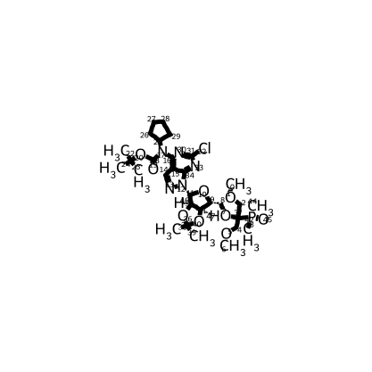 COCC(COC)(OC[C@H]1O[C@@H](n2ncc3c(N(C(=O)OC(C)(C)C)C4CCCC4)nc(Cl)nc32)[C@@H]2OC(C)(C)O[C@@H]21)P(C)(C)=O